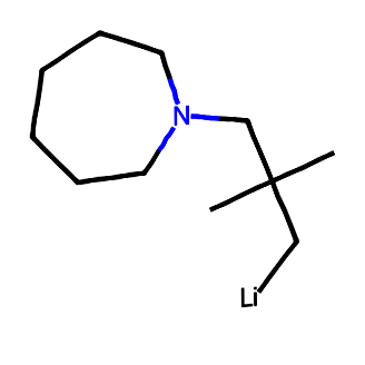 [Li][CH2]C(C)(C)CN1CCCCCC1